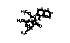 COCO[C@@]1(Cc2nccc3c2CCCC3)C(=O)N(COC)[C@H]1CC(C)C